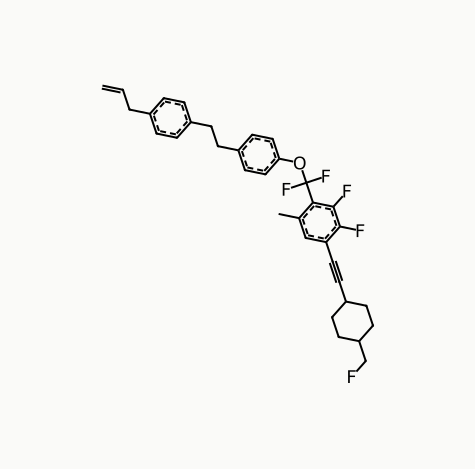 C=CCc1ccc(CCc2ccc(OC(F)(F)c3c(C)cc(C#CC4CCC(CF)CC4)c(F)c3F)cc2)cc1